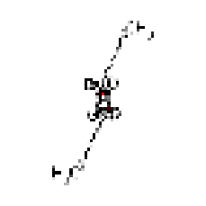 CCCCCCCCCCCCn1c(=O)c2cc(Br)c(c1=O)c1c3cc(Br)c(c(=O)n(CCCCCCCCCCCC)c3=O)c21